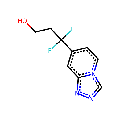 OCCC(F)(F)c1ccn2cnnc2c1